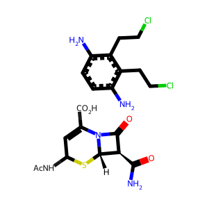 CC(=O)NC1C=C(C(=O)O)N2C(=O)[C@@H](C(N)=O)[C@@H]2S1.Nc1ccc(N)c(CCCl)c1CCCl